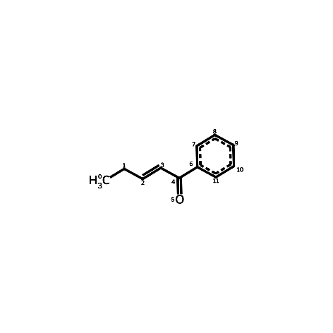 CC/C=C/C(=O)c1ccccc1